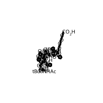 CC(=O)NCC(=O)N[C@@H](COC(C)(C)C)C(=O)N[C@@H](Cc1ccc(OCC(C)C)cc1)C(=O)N[C@@H](Cc1c[nH]c2ccccc12)C(=O)N[C@@H](Cc1ccc(OCC(C)C)cc1)C(=O)N[C@@H](CC(=O)OCC(C)C)C(=O)N[C@H](C(=O)N[C@@H](Cc1c[nH]c2ccccc12)C(=O)N[C@@H](Cc1ccccc1)C(=O)NCCOCCOCCOCCOCCC(=O)O)C(C)C